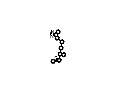 c1cc(-c2ccc(-c3ccc(-c4cccc5c4sc4ccccc45)c4ccccc34)cc2)cc(-c2ccc3c(c2)c2ccccc2c2nccnc32)c1